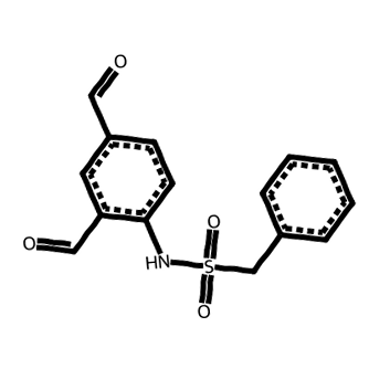 O=Cc1ccc(NS(=O)(=O)Cc2ccccc2)c(C=O)c1